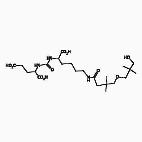 CC(C)(CO)COCC(C)(C)CC(=O)NCCCCC(NC(=O)NC(CCC(=O)O)C(=O)O)C(=O)O